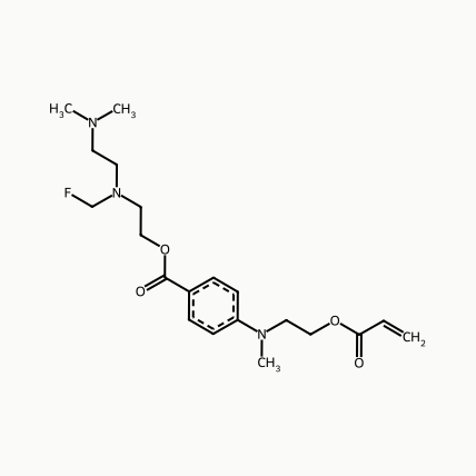 C=CC(=O)OCCN(C)c1ccc(C(=O)OCCN(CF)CCN(C)C)cc1